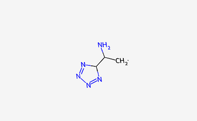 [CH2]C(N)C1N=NN=N1